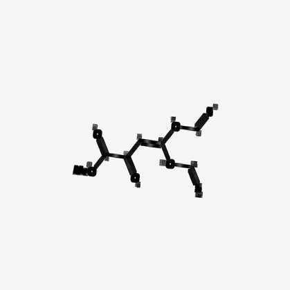 COC(=O)C(=O)C=C(OC=S)OC=S